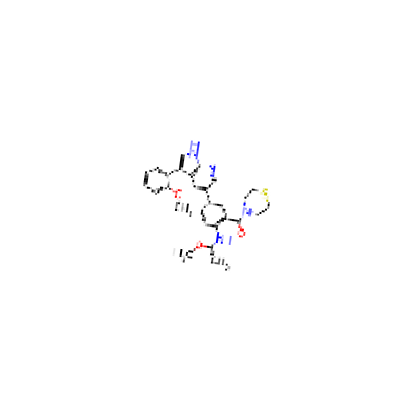 C=C(Nc1ccc(-c2cnc3[nH]cc(-c4ccccc4OC)c3c2)cc1C(=O)N1CCSCC1)OC